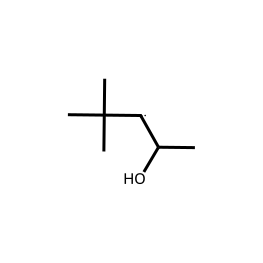 CC(O)[CH]C(C)(C)C